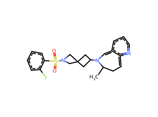 CC1CC=c2ncccc2=CN1C1CC2(C1)CN(S(=O)(=O)c1ccccc1F)C2